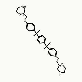 CC(C)(c1ccc(OC[C@@H]2CNCCO2)cc1)c1ccc(C(C)(C)c2ccc(OC[C@@H]3CNCCO3)cc2)cc1